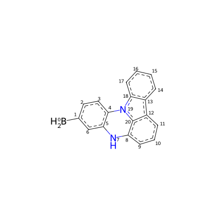 Bc1ccc2c(c1)Nc1cccc3c4ccccc4n-2c13